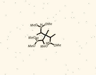 CO[SiH](OC)C(C)C(C)(C(C)[SiH](OC)OC)C(C)[SiH](OC)OC